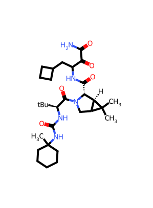 CC1(NC(=O)N[C@H](C(=O)N2CC3[C@@H]([C@H]2C(=O)NC(CC2CCC2)C(=O)C(N)=O)C3(C)C)C(C)(C)C)CCCCC1